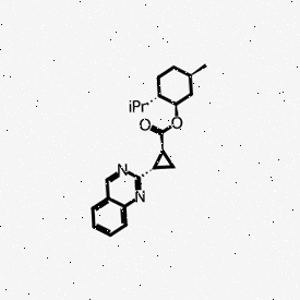 CC(C)[C@@H]1CC[C@@H](C)C[C@H]1OC(=O)[C@H]1C[C@@H]1c1ncc2ccccc2n1